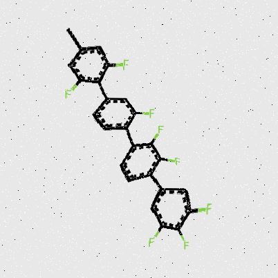 Cc1cc(F)c(-c2ccc(-c3ccc(-c4cc(F)c(F)c(F)c4)c(F)c3F)c(F)c2)c(F)c1